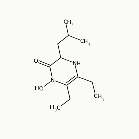 CCC1=C(CC)N(O)C(=O)C(CC(C)C)N1